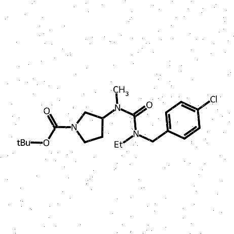 CCN(Cc1ccc(Cl)cc1)C(=O)N(C)C1CCN(C(=O)OC(C)(C)C)C1